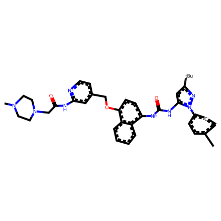 Cc1ccc(-n2nc(C(C)(C)C)cc2NC(=O)Nc2ccc(OCc3ccnc(NC(=O)CN4CCN(C)CC4)c3)c3ccccc23)cc1